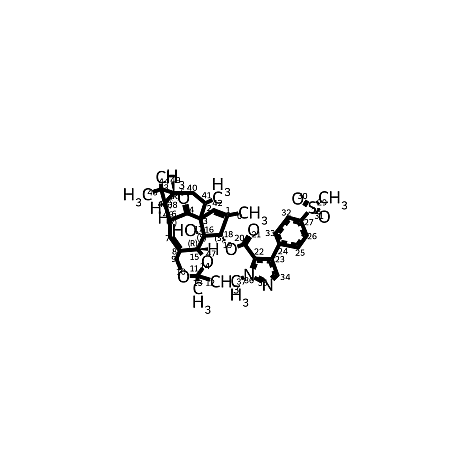 CC1=CC23C(=O)[C@@H](C=C4COC(C)(C)O[C@H]4[C@]2(O)[C@H]1OC(=O)c1c(-c2ccc(S(C)(=O)=O)cc2)cnn1C)[C@@H]1[C@@H](CC3C)C1(C)C